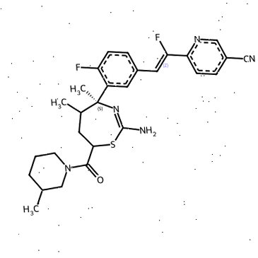 CC1CCCN(C(=O)C2CC(C)[C@@](C)(c3cc(/C=C(\F)c4ccc(C#N)cn4)ccc3F)N=C(N)S2)C1